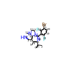 C=C(C)C1=C(C)C(C=N)=C2N(C)CCN2C(c2c(F)ccc(Br)c2F)=N1